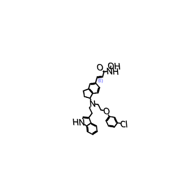 O=C(/C=C/c1ccc2c(c1)CCC2N(CCOc1cccc(Cl)c1)CCc1c[nH]c2ccccc12)NO